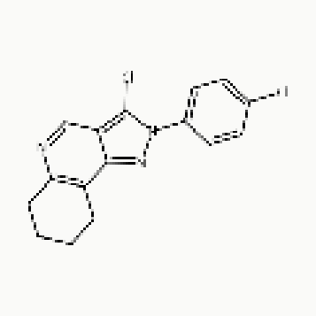 Clc1ccc(-n2nc3c4c(ncc3c2Cl)CCCC4)cc1